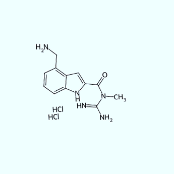 CN(C(=N)N)C(=O)c1cc2c(CN)cccc2[nH]1.Cl.Cl